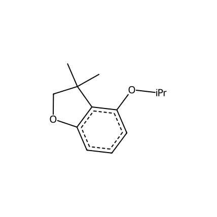 CC(C)Oc1cccc2c1C(C)(C)CO2